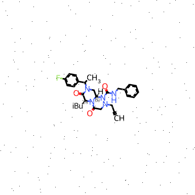 C#CCN1CC(=O)N2[C@@H](C(C)CC)C(=O)N(C(C)c3ccc(F)cc3)C[C@@H]2N1C(=O)NCc1ccccc1